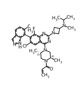 C=CC(=O)N1C[C@H](C)N(c2nc(N3CC(N(C)C(C)C)C3)nc3c(F)c(-c4c(C)ccc5cn[nH]c45)c(Cl)cc23)C[C@H]1C